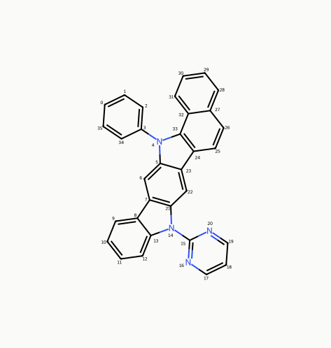 c1ccc(-n2c3cc4c5ccccc5n(-c5ncccn5)c4cc3c3ccc4ccccc4c32)cc1